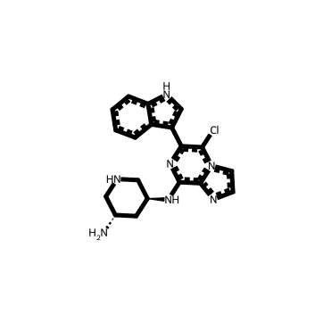 N[C@@H]1CNC[C@@H](Nc2nc(-c3c[nH]c4ccccc34)c(Cl)n3ccnc23)C1